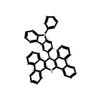 c1ccc(-n2c3ccccc3c3cc(C4c5c(c6ccccc6c6ccccc56)Sc5c4c4ccccc4c4ccccc54)ccc32)cc1